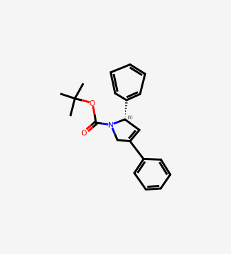 CC(C)(C)OC(=O)N1CC(c2ccccc2)=C[C@H]1c1ccccc1